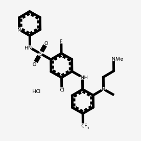 CNCCN(C)c1cc(C(F)(F)F)ccc1Nc1cc(F)c(S(=O)(=O)Nc2ccccn2)cc1Cl.Cl